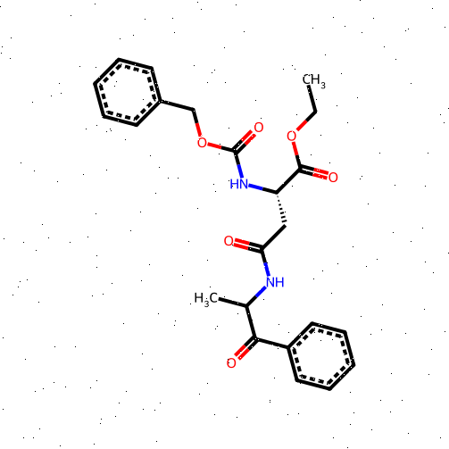 CCOC(=O)[C@H](CC(=O)NC(C)C(=O)c1ccccc1)NC(=O)OCc1ccccc1